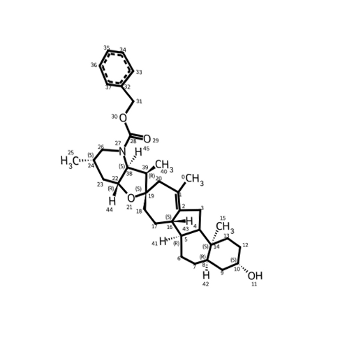 CC1=C2CC3[C@@H](CC[C@@H]4C[C@@H](O)CC[C@]34C)[C@@H]2CC[C@@]2(C1)O[C@@H]1C[C@H](C)CN(C(=O)OCc3ccccc3)[C@H]1[C@H]2C